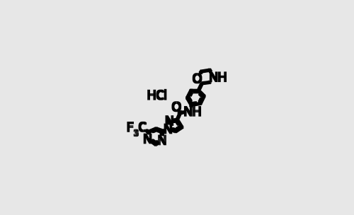 Cl.O=C(Nc1ccc(C2CNCCO2)cc1)c1ccn(-c2cc(C(F)(F)F)ncn2)n1